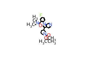 CCN(CC)C(=O)c1cc(F)ccc1-n1cc(C2CCCN(C(=O)OC(C)(C)C)C2)c2ccncc21